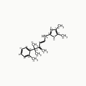 C=C(C=CNc1nc(C)c(C)s1)C(C)(C)c1ccccc1C